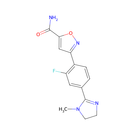 CN1CCN=C1c1ccc(-c2cc(C(N)=O)on2)c(F)c1